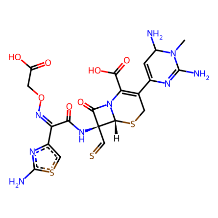 CN1C(N)=NC(C2=C(C(=O)O)N3C(=O)[C@](C=S)(NC(=O)/C(=N\OCC(=O)O)c4csc(N)n4)[C@H]3SC2)=CC1N